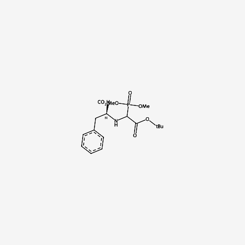 COP(=O)(OC)C(N[C@@H](Cc1ccccc1)C(=O)O)C(=O)OC(C)(C)C